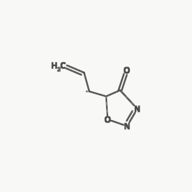 C=C[CH]C1ON=NC1=O